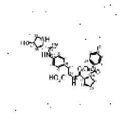 Cc1ccc(S(=O)(=O)N2CCC[C@H]2C(=O)N[C@@H](Cc2ccc(NC(=O)[C@@H]3CC(O)CN3)cc2)C(=O)O)cc1